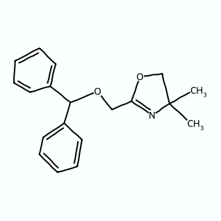 CC1(C)COC(COC(c2ccccc2)c2ccccc2)=N1